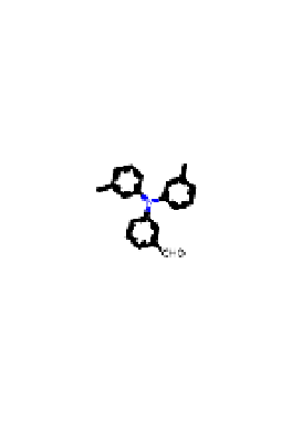 Cc1cccc(N(c2cccc(C)c2)c2cccc(C=O)c2)c1